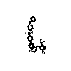 O=C(NC1CCN(Cc2ccccc2)CC1)c1ccc(-c2cnc3c(c2)N(Cc2cc(Cl)ccc2C(F)(F)F)CCN3)cc1